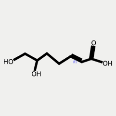 O=C(O)/C=C/CCC(O)CO